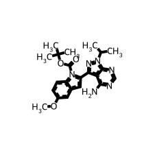 COc1ccc2c(c1)cc(-c1nn(C(C)C)c3ncnc(N)c13)n2C(=O)OC(C)(C)C